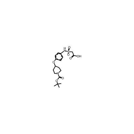 CC(C)(C)OC(=O)N1CCC(Oc2ccc(NS(=O)(=O)CC(=O)O)cc2)CC1